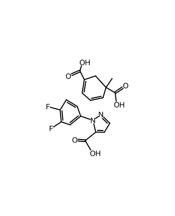 CC1(C(=O)O)C=CC=C(C(=O)O)C1.O=C(O)c1ccnn1-c1ccc(F)c(F)c1